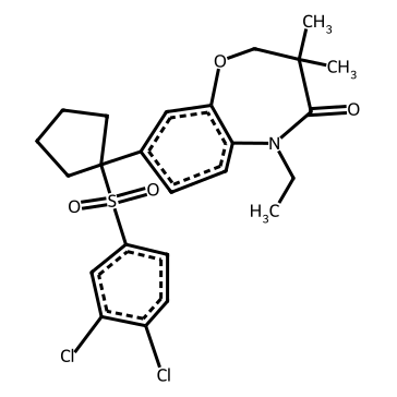 CCN1C(=O)C(C)(C)COc2cc(C3(S(=O)(=O)c4ccc(Cl)c(Cl)c4)CCCC3)ccc21